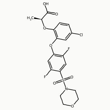 C[C@H](Oc1ccc(Cl)cc1Oc1cc(F)c(S(=O)(=O)N2CCOCC2)cc1F)C(=O)O